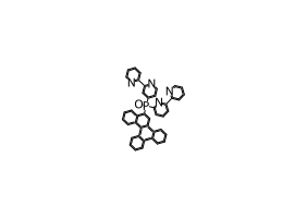 O=P(c1ccnc(-c2ccccn2)c1)(c1cccc(-c2ccccn2)n1)c1cc2c3ccccc3c3ccccc3c2c2ccccc12